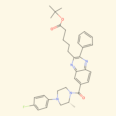 C[C@@H]1CN(c2ccc(F)cc2)CCN1C(=O)c1ccc2nc(-c3ccccc3)c(CCCCC(=O)OC(C)(C)C)nc2c1